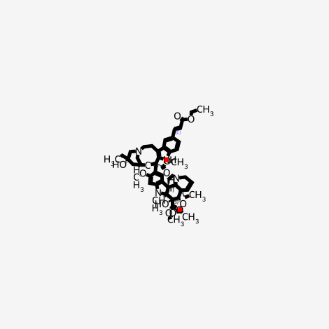 CCOC(=O)/C=C/c1ccc2[nH]c3c(c2c1)CCN1C[C@H](C[C@@](O)(CC)C1)C[C@]3(C(=O)OC)c1cc2c(cc1OC)N(C)[C@H]1[C@@](O)(C(=O)OC)[C@H](OC(C)=O)[C@]3(CC)C=CCN4CC[C@]21[C@@H]43